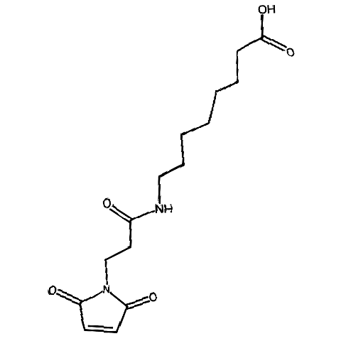 O=C(O)CCCCCCCNC(=O)CCN1C(=O)C=CC1=O